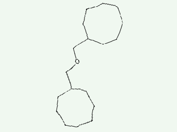 C1CCCC(COCC2CCCCCCC2)CCC1